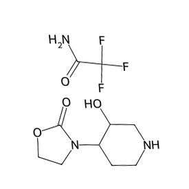 NC(=O)C(F)(F)F.O=C1OCCN1C1CCNCC1O